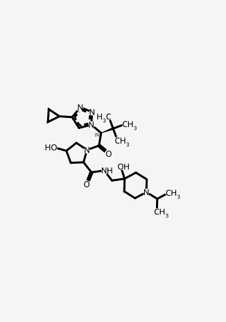 CC(C)N1CCC(O)(CNC(=O)C2CC(O)CN2C(=O)[C@@H](n2cc(C3CC3)nn2)C(C)(C)C)CC1